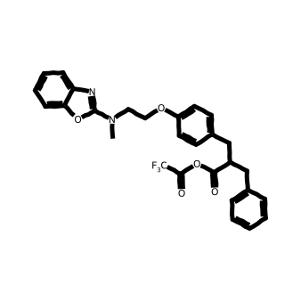 CN(CCOc1ccc(CC(Cc2ccccc2)C(=O)OC(=O)C(F)(F)F)cc1)c1nc2ccccc2o1